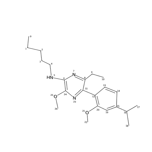 CCCCCNc1nc(CC)c(-c2ccc(C(C)C)cc2OC)nc1OC